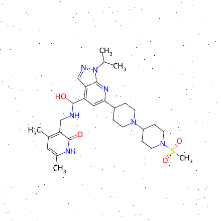 Cc1cc(C)c(CNC(O)c2cc(C3CCN(C4CCN(S(C)(=O)=O)CC4)CC3)nc3c2cnn3C(C)C)c(=O)[nH]1